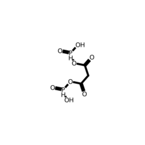 O=C(CC(=O)O[PH](=O)O)O[PH](=O)O